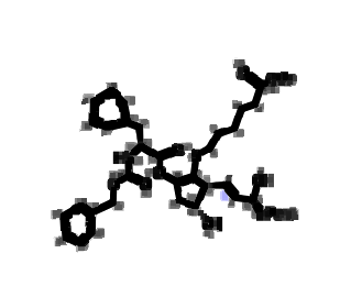 CCCCC[C@H](O)/C=C/[C@@H]1C(SCCCCCC(=O)OC)=C(OC(=O)[C@H](Cc2ccccc2)NC(=O)OCc2ccccc2)C[C@H]1O